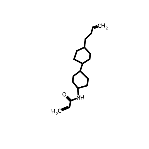 C=CCCC1CCC(C2CCC(NC(=O)C=C)CC2)CC1